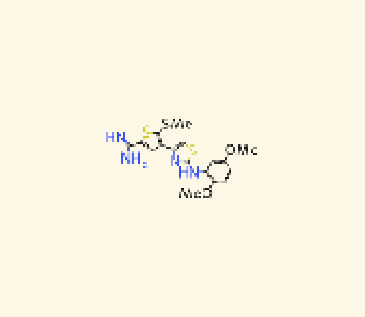 COc1ccc(OC)c(Nc2nc(-c3cc(C(=N)N)sc3SC)cs2)c1